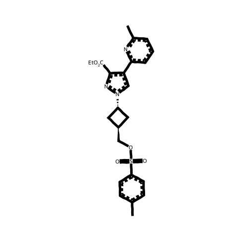 CCOC(=O)c1nn([C@H]2C[C@H](COS(=O)(=O)c3ccc(C)cc3)C2)cc1-c1cccc(C)n1